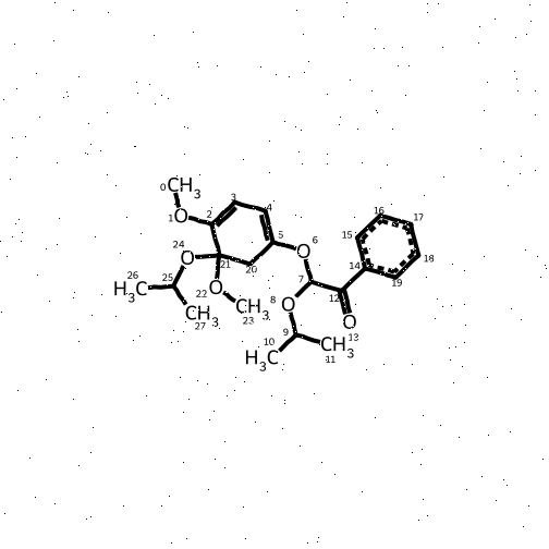 COC1=CC=C(OC(OC(C)C)C(=O)c2ccccc2)CC1(OC)OC(C)C